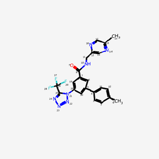 Cc1ccc(-c2cc(C(=O)NCc3cnc(C)cn3)cc(-n3nnnc3C(F)(F)F)c2)cc1